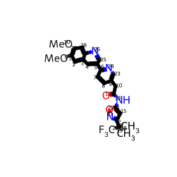 COc1cc2cc(-c3ccc(CC(=O)Nc4cc(C(C)(C)C(F)(F)F)no4)cn3)cnc2cc1OC